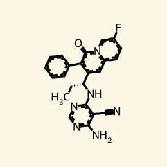 CC[C@@H](Nc1ncnc(N)c1C#N)c1cc2ccc(F)cn2c(=O)c1-c1ccccc1